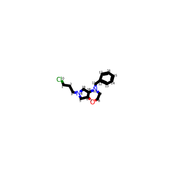 ClCCCN1CC2OCCN(Cc3ccccc3)C2C1